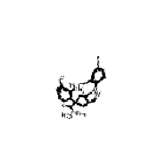 Cc1cc(F)ccc1-n1ncc2c1CC(C(=O)NO)(c1cccc(F)c1C)C2